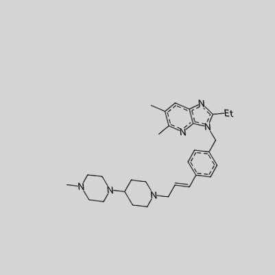 CCc1nc2cc(C)c(C)nc2n1Cc1ccc(C=CCN2CCC(N3CCN(C)CC3)CC2)cc1